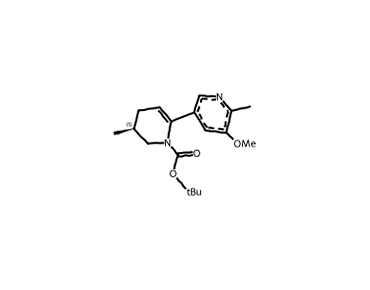 COc1cc(C2=CC[C@H](C)CN2C(=O)OC(C)(C)C)cnc1C